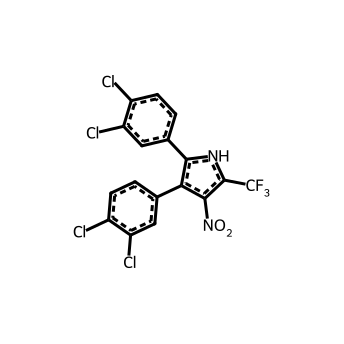 O=[N+]([O-])c1c(C(F)(F)F)[nH]c(-c2ccc(Cl)c(Cl)c2)c1-c1ccc(Cl)c(Cl)c1